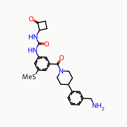 CSc1cc(NC(=O)NC2CCC2=O)cc(C(=O)N2CCC(c3cccc(CN)c3)CC2)c1